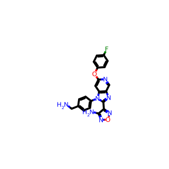 NCc1ccc(-n2c(-c3nonc3N)nc3cnc(Oc4ccc(F)cc4)cc32)cc1